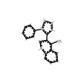 Cc1c(-c2nnnn2-c2ccccc2)cnc2ccccc12